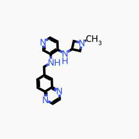 CN1CC(Nc2ccncc2NCc2ccc3nccnc3c2)C1